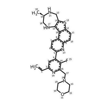 C=Cc1cc(-c2ccc3c(ccc4sc5c(c43)NC[C@@H](C)NC5)n2)c(F)c(CN2CCOCC2)n1